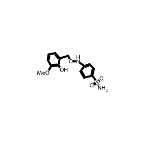 COc1cccc(CONc2ccc(S(N)(=O)=O)cc2)c1O